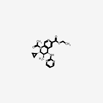 CCOC(=O)c1cc2c(cn1)N(C(C)=O)[C@@H](C1CC1)[C@H](C)[C@H]2Nc1ncccn1